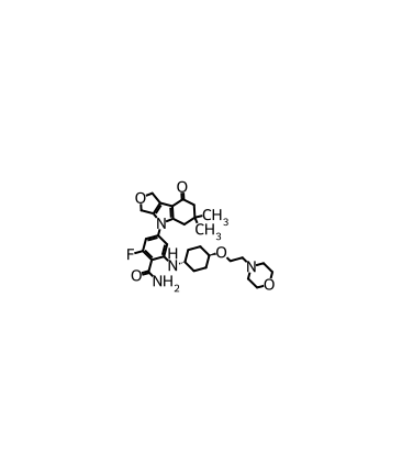 CC1(C)CC(=O)c2c3c(n(-c4cc(F)c(C(N)=O)c(N[C@H]5CC[C@H](OCCN6CCOCC6)CC5)c4)c2C1)COC3